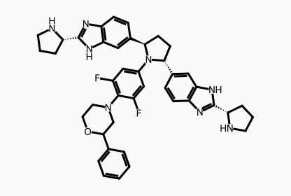 Fc1cc(N2[C@@H](c3ccc4nc([C@@H]5CCCN5)[nH]c4c3)CC[C@@H]2c2ccc3nc([C@@H]4CCCN4)[nH]c3c2)cc(F)c1N1CCOC(c2ccccc2)C1